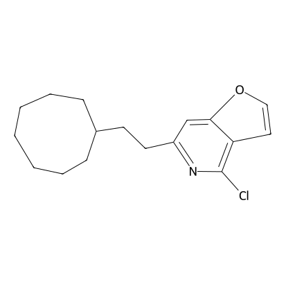 Clc1nc(CCC2CCCCCCC2)cc2occc12